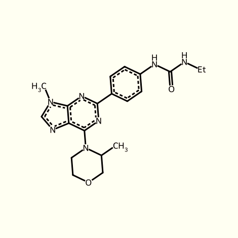 CCNC(=O)Nc1ccc(-c2nc(N3CCOCC3C)c3ncn(C)c3n2)cc1